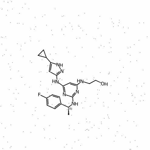 C[C@H](Nc1nc(NCCO)cc(Nc2cc(C3CC3)[nH]n2)n1)c1ccc(F)cc1